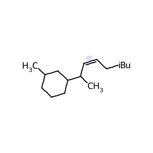 CCC(C)C/C=C\C(C)C1CCCC(C)C1